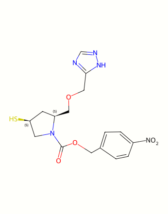 O=C(OCc1ccc([N+](=O)[O-])cc1)N1C[C@@H](S)C[C@H]1COCc1ncn[nH]1